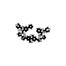 O=C(N[C@@H](C(=O)N1CCC[C@H]1c1ncc(-c2cc3c4c(c2)OCc2cc(-c5cnc([C@@H]6CCCN6C(=O)[C@H](NC(=O)C6CCOCC6)c6ccc(C7CCCC7)cc6)[nH]5)cc(c2-4)OC3)[nH]1)c1ccccc1)C1CCOCC1